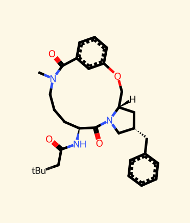 CN1CCC[C@H](NC(=O)CC(C)(C)C)C(=O)N2C[C@@H](Cc3ccccc3)C[C@H]2COc2cccc(c2)C1=O